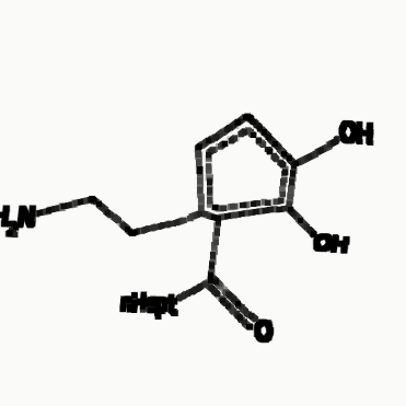 CCCCCCCC(=O)c1c(CCN)ccc(O)c1O